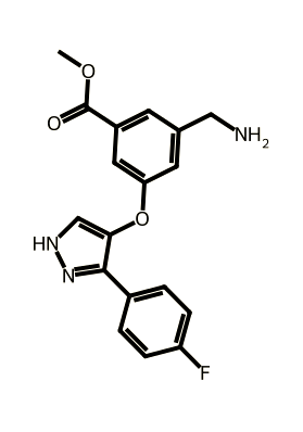 COC(=O)c1cc(CN)cc(Oc2c[nH]nc2-c2ccc(F)cc2)c1